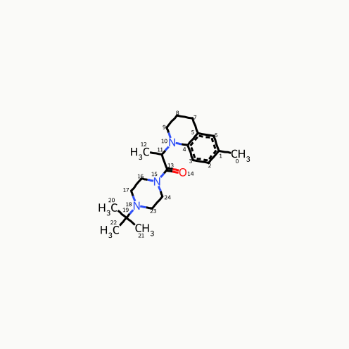 Cc1ccc2c(c1)CCCN2C(C)C(=O)N1CCN(C(C)(C)C)CC1